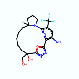 Nc1cc(C(F)(F)F)c2nc1-c1nnc(o1)C(O)(CO)CCCCC[C@@H]1CCCN21